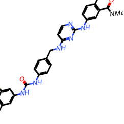 CNC(=O)c1cc(Nc2nccc(NCc3ccc(NC(=O)Nc4cc(F)cc(C(F)(F)F)c4)cc3)n2)ccc1C